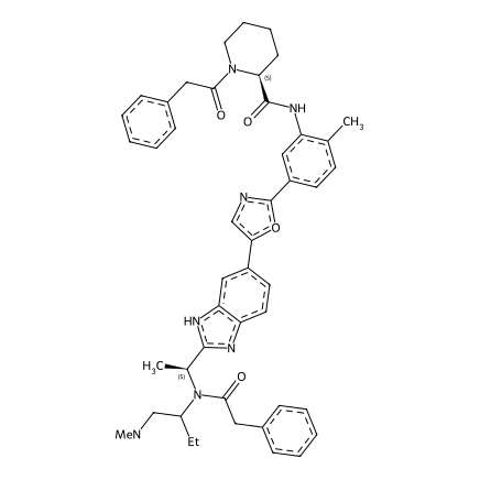 CCC(CNC)N(C(=O)Cc1ccccc1)[C@@H](C)c1nc2ccc(-c3cnc(-c4ccc(C)c(NC(=O)[C@@H]5CCCCN5C(=O)Cc5ccccc5)c4)o3)cc2[nH]1